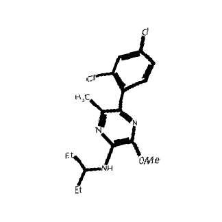 CCC(CC)Nc1nc(C)c(-c2ccc(Cl)cc2Cl)nc1OC